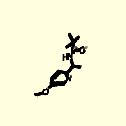 COc1ccc(C(C)N[S+]([O-])C(C)(C)C)nc1